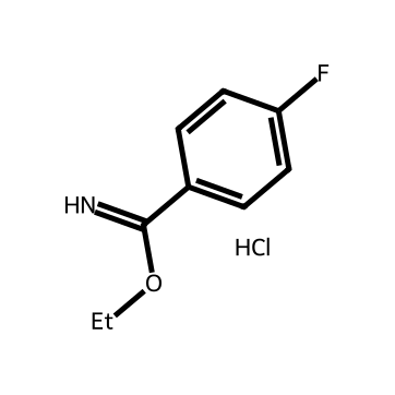 CCOC(=N)c1ccc(F)cc1.Cl